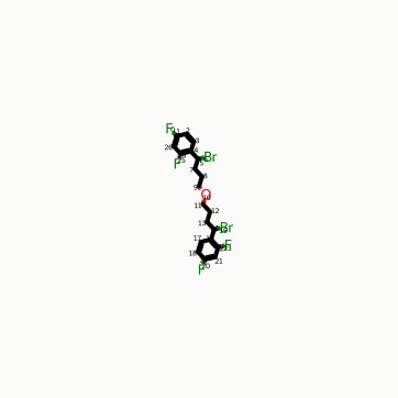 Fc1ccc(C(Br)CCCOCCCC(Br)c2ccc(F)cc2F)c(F)c1